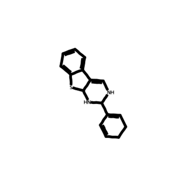 C1=CC(C2NC=C3c4ccccc4SC3N2)=CCC1